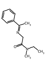 CCN(C)C(=O)C/N=C(\C)c1ccccc1